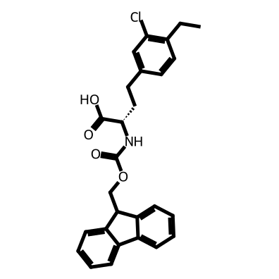 CCc1ccc(CC[C@H](NC(=O)OCC2c3ccccc3-c3ccccc32)C(=O)O)cc1Cl